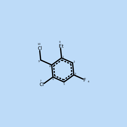 [CH2]Cc1cc(F)cc(Cl)c1CCl